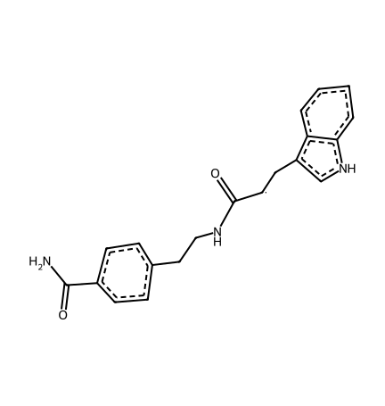 NC(=O)c1ccc(CCNC(=O)[CH]Cc2c[nH]c3ccccc23)cc1